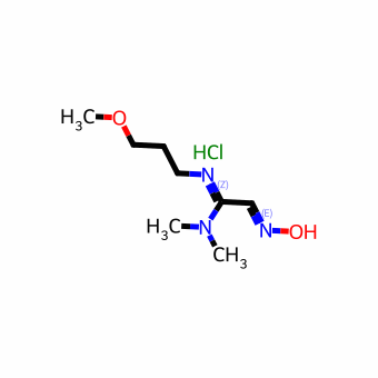 COCCC/N=C(/C=N/O)N(C)C.Cl